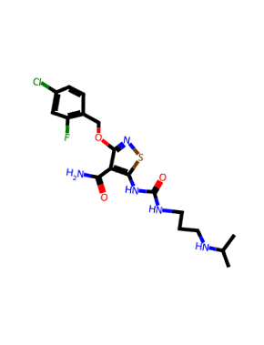 CC(C)NCCCNC(=O)Nc1snc(OCc2ccc(Cl)cc2F)c1C(N)=O